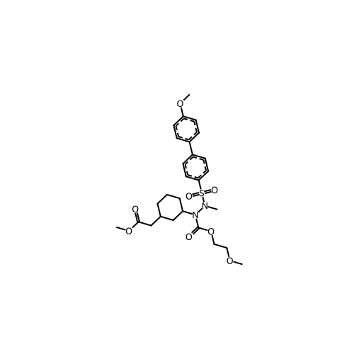 COCCOC(=O)N(C1CCCC(CC(=O)OC)C1)N(C)S(=O)(=O)c1ccc(-c2ccc(OC)cc2)cc1